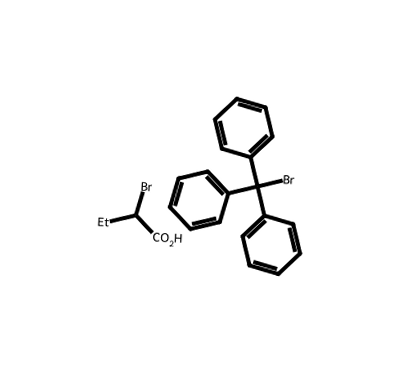 BrC(c1ccccc1)(c1ccccc1)c1ccccc1.CCC(Br)C(=O)O